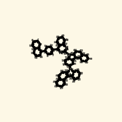 c1ccc2c(-c3ccc(-c4nc(-n5c6ccc(-n7c8ccccc8c8c9ccccc9ccc87)cc6c6c7ccccc7ccc65)nc5ccccc45)cc3)cccc2c1